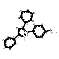 Nc1ccc(-n2nc(-c3ccccc3)cc2-c2ccccc2)cc1